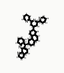 c1ccc(-c2cc(-c3ccc4c(ccc5ccc(-c6c7ccccc7nc7c6ccc6cccnc67)cc54)c3)cc(-c3ccccn3)n2)nc1